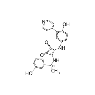 C[C@@H](Nc1c(Nc2ccc(O)c(-c3ccncc3)c2)c(=O)c1=O)c1cccc(O)c1